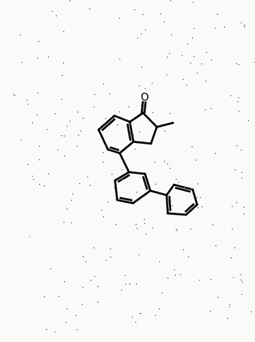 CC1Cc2c(cccc2-c2cccc(-c3ccccc3)c2)C1=O